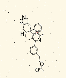 CC(=O)OCCc1cccc(-c2nc(C)nc3c2CC[C@H]2[C@H](C)c4oncc4C[C@]32c2ccccc2)c1